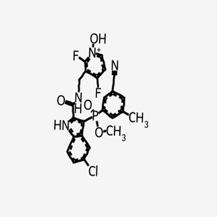 COP(=O)(c1cc(C)cc(C#N)c1)c1c(C(=O)NCc2c(F)cc[n+](O)c2F)[nH]c2ccc(Cl)cc12